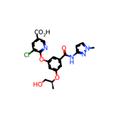 C[C@@H](CO)Oc1cc(Oc2ncc(C(=O)O)cc2Cl)cc(C(=O)Nc2ccn(C)n2)c1